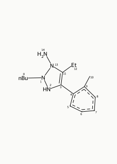 CCCCN1NC(c2ccccc2C)=C(CC)N1N